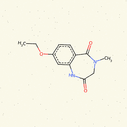 CCOc1ccc2c(c1)NC(=O)CN(C)C2=O